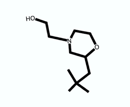 CC(C)(C)CC1CN(CCO)CCO1